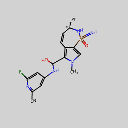 CC(C)[C@@H]1C=Cc2c(cn(C)c2C(O)Nc2cc(F)nc(C#N)c2)S(=N)(=O)N1